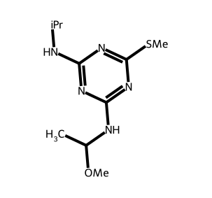 COC(C)Nc1nc(NC(C)C)nc(SC)n1